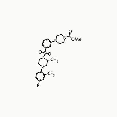 COC(=O)N1CCN(c2cccc(S(=O)(=O)N3CCN(c4ccc(F)cc4C(F)(F)F)C[C@H]3C)c2)CC1